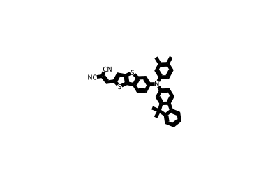 Cc1ccc(N(c2ccc3c(c2)C(C)(C)c2ccccc2-3)c2ccc3c(c2)sc2cc(C=C(C#N)C#N)sc23)cc1C